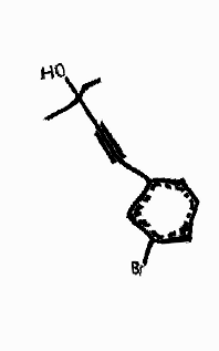 CC(C)(O)C#Cc1cccc(Br)c1